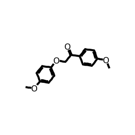 COc1ccc(OCC(=O)c2ccc(OC)cc2)cc1